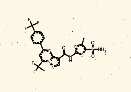 Cc1nc(NC(=O)c2cnn3c(C(F)(F)F)cc(-c4ccc(C(F)(F)F)cc4)nc23)sc1S(N)(=O)=O